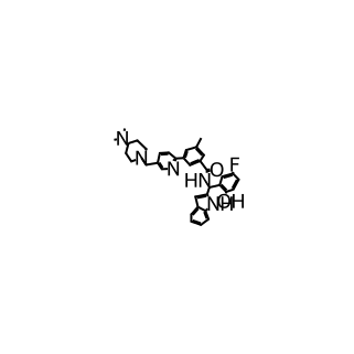 Cc1cc(C(=O)N[C@@H](c2cc3ccccc3[nH]2)c2cc(F)ccc2O)cc(-c2ccc(CN3CCC(N(C)C)CC3)cn2)c1